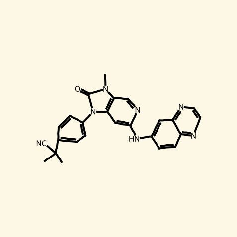 Cn1c(=O)n(-c2ccc(C(C)(C)C#N)cc2)c2cc(Nc3ccc4nccnc4c3)ncc21